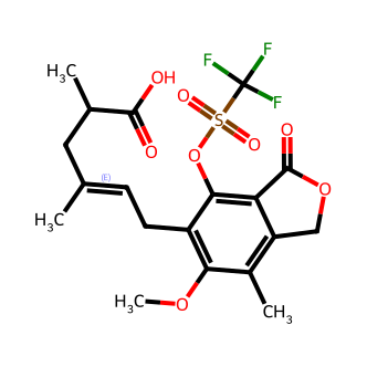 COc1c(C)c2c(c(OS(=O)(=O)C(F)(F)F)c1C/C=C(\C)CC(C)C(=O)O)C(=O)OC2